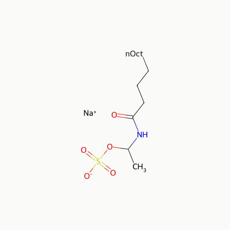 CCCCCCCCCCCC(=O)NC(C)OS(=O)(=O)[O-].[Na+]